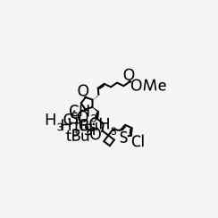 COC(=O)CCC/C=C\C[C@H]1C(=O)CC(O[Si](C)(C)C(C)(C)C)[C@@H]1/C=C/CC(O[Si](C)(C)C(C)(C)C)C1(Cc2ccc(Cl)s2)CCC1